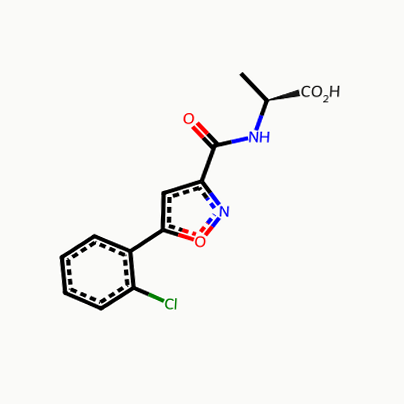 C[C@H](NC(=O)c1cc(-c2ccccc2Cl)on1)C(=O)O